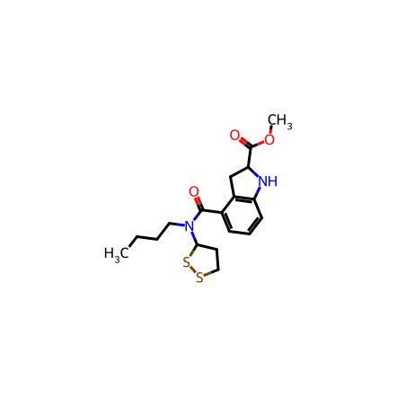 CCCCN(C(=O)c1cccc2c1CC(C(=O)OC)N2)C1CCSS1